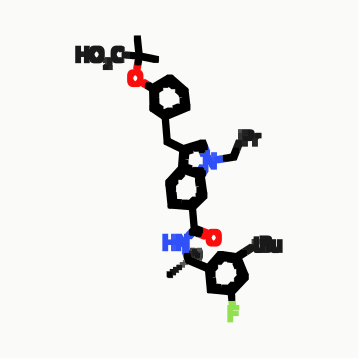 CC(C)Cn1cc(Cc2cccc(OC(C)(C)C(=O)O)c2)c2ccc(C(=O)N[C@@H](C)c3cc(F)cc(C(C)(C)C)c3)cc21